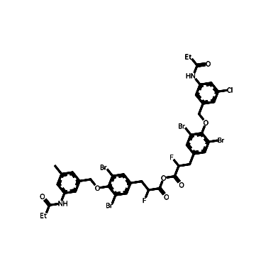 CCC(=O)Nc1cc(C)cc(COc2c(Br)cc(CC(F)C(=O)OC(=O)C(F)Cc3cc(Br)c(OCc4cc(Cl)cc(NC(=O)CC)c4)c(Br)c3)cc2Br)c1